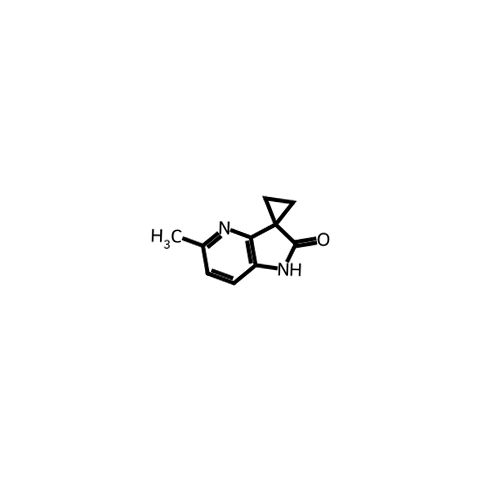 Cc1ccc2c(n1)C1(CC1)C(=O)N2